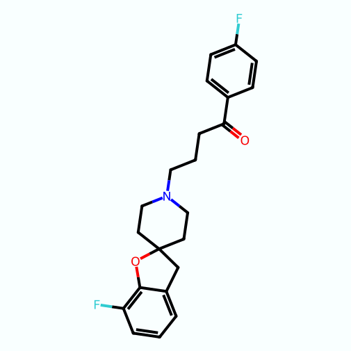 O=C(CCCN1CCC2(CC1)Cc1cccc(F)c1O2)c1ccc(F)cc1